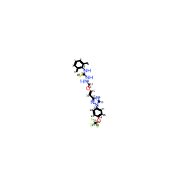 Cc1cccc(C)c1NC(=S)NNCO/C=C/c1ncn(-c2ccc(OC(F)(F)F)cc2)n1